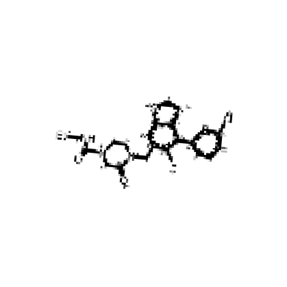 CCNC(=O)N1CCN(Cc2cc3scnc3c(-c3cccc(Cl)c3)c2F)C(=O)C1